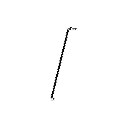 CCC=CCCCCCCCCCCCCCCCCCCCCCCCCCCCCCCCCCCCCCCCCCCCCCCCCCCCCCCCCC